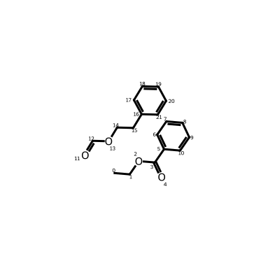 CCOC(=O)c1ccccc1.O=COCCc1ccccc1